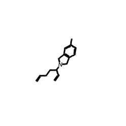 C=CCCC(C=C)N1Cc2ccc(C)cc2C1